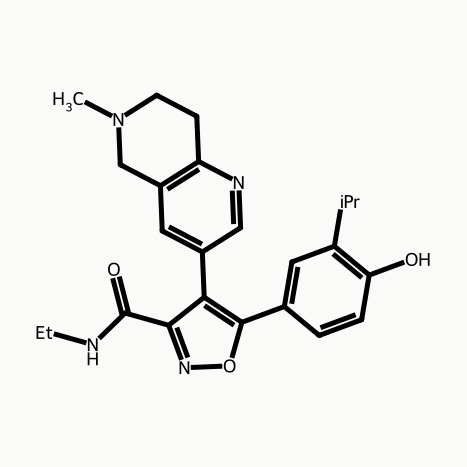 CCNC(=O)c1noc(-c2ccc(O)c(C(C)C)c2)c1-c1cnc2c(c1)CN(C)CC2